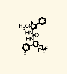 Cn1nc(-c2ccccc2)cc1NC(=O)N[C@@H]1CN(CC(F)(F)F)C[C@H]1c1cccc(F)c1